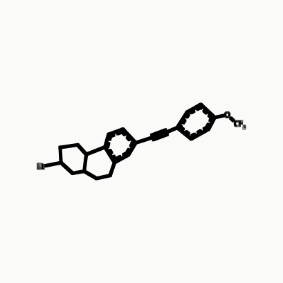 CCC1CCC2c3ccc(C#Cc4ccc(OC(F)(F)F)cc4)cc3CCC2C1